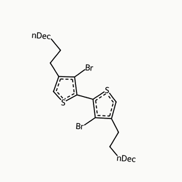 CCCCCCCCCCCCc1csc(-c2scc(CCCCCCCCCCCC)c2Br)c1Br